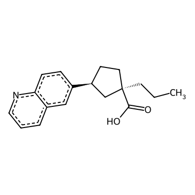 CCC[C@@]1(C(=O)O)CC[C@H](c2ccc3ncccc3c2)C1